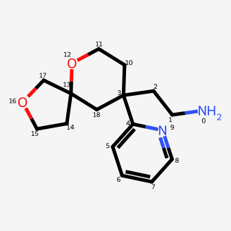 NCCC1(c2ccccn2)CCOC2(CCOC2)C1